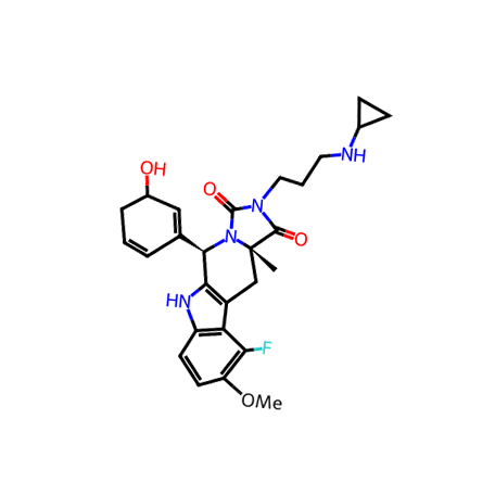 COc1ccc2[nH]c3c(c2c1F)C[C@@]1(C)C(=O)N(CCCNC2CC2)C(=O)N1[C@@H]3C1=CC(O)CC=C1